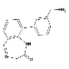 NCc1cccc(-c2cccc3c2NC(=O)CN=C3)c1